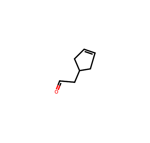 O=CCC1CC=CC1